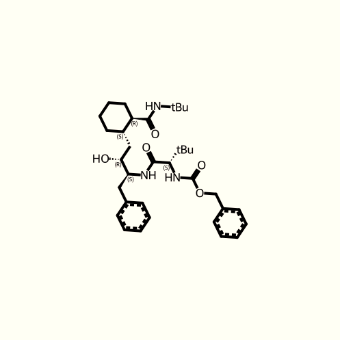 CC(C)(C)NC(=O)[C@@H]1CCCC[C@H]1C[C@@H](O)[C@H](Cc1ccccc1)NC(=O)[C@@H](NC(=O)OCc1ccccc1)C(C)(C)C